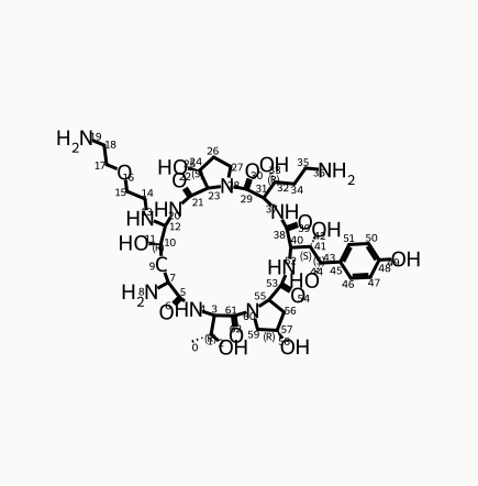 C[C@@H](O)C1NC(=O)C(N)C[C@@H](O)C(NCCOCCN)NC(=O)C2[C@@H](O)CCN2C(=O)C([C@H](O)CCN)NC(=O)C([C@H](O)[C@@H](O)c2ccc(O)cc2)NC(=O)C2C[C@@H](O)CN2C1=O